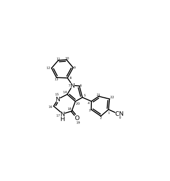 N#Cc1ccc(-c2cn(-c3ccccc3)c3nc[nH]c(=O)c23)cc1